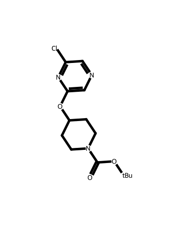 CC(C)(C)OC(=O)N1CCC(Oc2cncc(Cl)n2)CC1